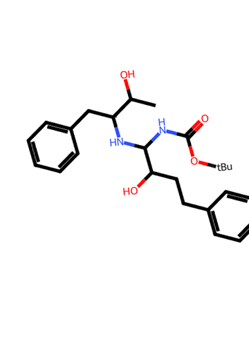 CC(O)[C](Cc1ccccc1)NC(NC(=O)OC(C)(C)C)C(O)CCc1ccccc1